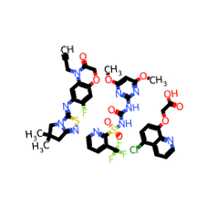 C#CCN1C(=O)COc2cc(F)c(/N=c3\snc4n3CC(C)(C)C4)cc21.COc1cc(OC)nc(NC(=O)NS(=O)(=O)c2ncccc2C(F)(F)F)n1.O=C(O)COc1ccc(Cl)c2cccnc12